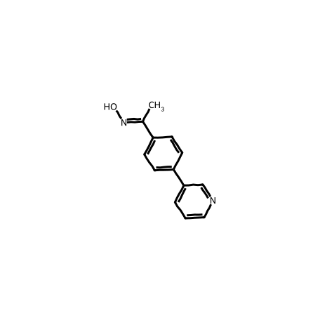 CC(=NO)c1ccc(-c2cccnc2)cc1